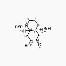 Br.CCCN1CCC[C@H]2CC(=O)C(Br)C[C@@H]21